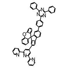 c1ccc(-c2nc(-c3ccccc3)nc(-c3ccc(-c4ccc5c(c4)C4(c6ccccc6Oc6ccccc64)c4cc(-c6cc(-c7ccccn7)nc(-c7ccccn7)c6)ccc4-5)cc3)n2)cc1